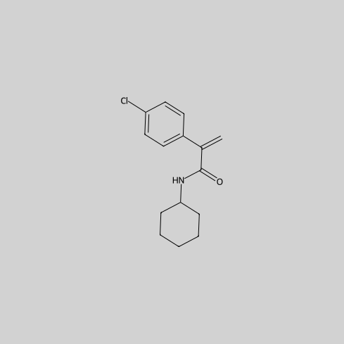 C=C(C(=O)NC1CCCCC1)c1ccc(Cl)cc1